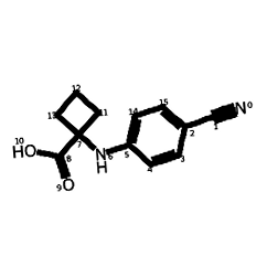 N#Cc1ccc(NC2(C(=O)O)CCC2)cc1